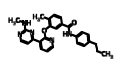 CCCc1ccc(NC(=O)c2ccc(C)c(Oc3ncccc3-c3ccnc(NC)n3)c2)cc1